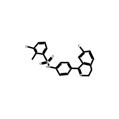 Cc1c(Cl)cccc1S(=O)(=O)Nc1ccc(C2=NCCc3ccc(F)cc32)cc1